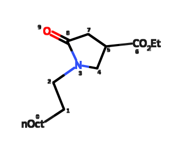 CCCCCCCCCCN1CC(C(=O)OCC)CC1=O